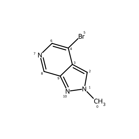 Cn1cc2c(Br)cncc2n1